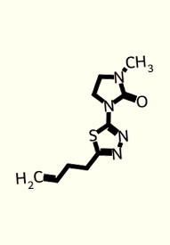 C=CCCc1nnc(N2CCN(C)C2=O)s1